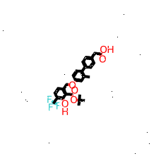 Cc1cc(OCc2ccc(C(F)(F)F)c(O)c2C(=O)OC(C)(C)C)ccc1-c1ccc(CC(=O)O)cc1